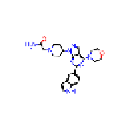 NC(=O)CN1CCC(n2ncc3c(N4CCOCC4)nc(-c4ccc5[nH]ccc5c4)nc32)CC1